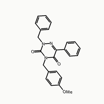 COc1ccc(Cn2c(=O)c(-c3ccccc3)nn(Cc3ccccc3)c2=O)cc1